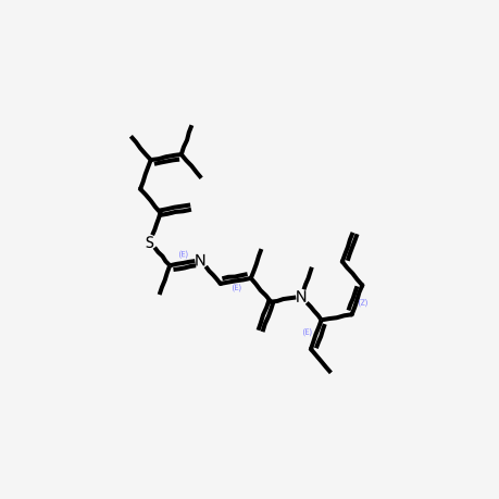 C=C/C=C\C(=C/C)N(C)C(=C)/C(C)=C/N=C(\C)SC(=C)CC(C)=C(C)C